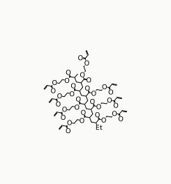 C=CC(=O)OCCOC(=O)C(C)CC(CC(CC(CC(CC(CC(CC(CC)C(=O)OCCOC(=O)C=C)C(=O)OCCOC(=O)C=C)C(=O)OCCOC(=O)C=C)C(=O)OCCOC(=O)C=C)C(=O)OCCOC(=O)C=C)C(=O)OCCOC(=O)C=C)C(=O)OCCOC(=O)C=C